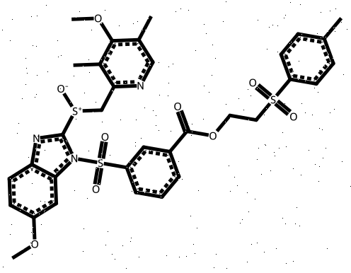 COc1ccc2nc([S+]([O-])Cc3ncc(C)c(OC)c3C)n(S(=O)(=O)c3cccc(C(=O)OCCS(=O)(=O)c4ccc(C)cc4)c3)c2c1